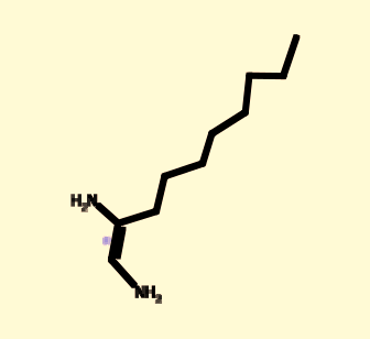 CCCCCCCC/C(N)=C\N